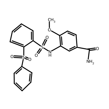 COc1ccc(C(N)=O)cc1NS(=O)(=O)c1ccccc1S(=O)(=O)c1ccccc1